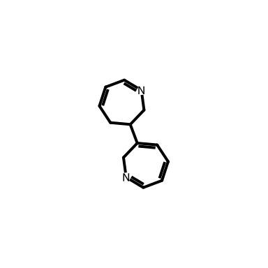 C1=CC=C(C2CC=CC=NC2)CN=C1